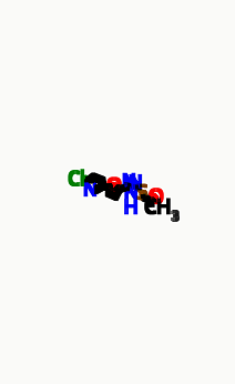 CC(=O)CSc1nnc(-c2ccc(-c3ccc(Cl)nc3)o2)[nH]1